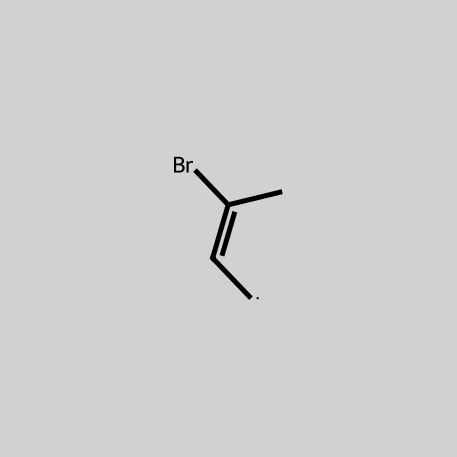 [CH2]/C=C(\C)Br